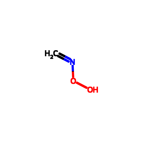 C=NOO